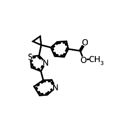 COC(=O)c1ccc(C2(c3nc(-c4cccnc4)cs3)CC2)cc1